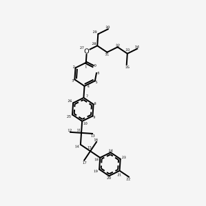 C=C(/C=C\C(=C/C)c1ccc(C(C)(C)CC(C)(C)c2ccc(C)cc2)cc1)OC(CC)CCC(C)C